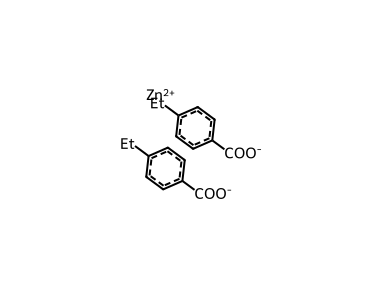 CCc1ccc(C(=O)[O-])cc1.CCc1ccc(C(=O)[O-])cc1.[Zn+2]